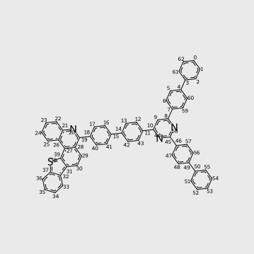 c1ccc(-c2ccc(-c3cc(-c4ccc(-c5ccc(-c6nc7ccccc7c7c6ccc6c8ccccc8sc67)cc5)cc4)nc(-c4ccc(-c5ccccc5)cc4)n3)cc2)cc1